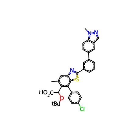 Cc1cc2nc(-c3cccc(-c4ccc5c(cnn5C)c4)c3)sc2c(-c2ccc(Cl)cc2)c1C(OC(C)(C)C)C(=O)O